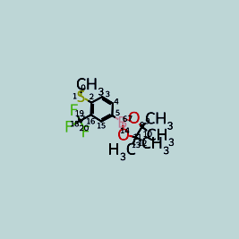 CSc1ccc(B2OC(C)(C)C(C)(C)O2)cc1C(F)(F)F